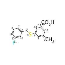 Cc1cc(SCc2cccc(F)c2)cc(C(=O)O)c1